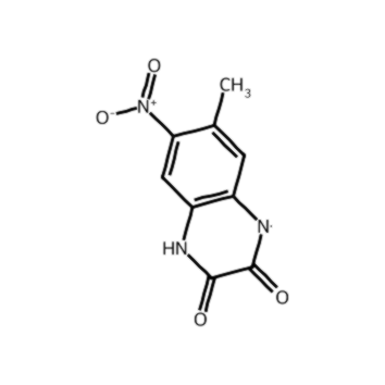 Cc1cc2c(cc1[N+](=O)[O-])NC(=O)C(=O)[N]2